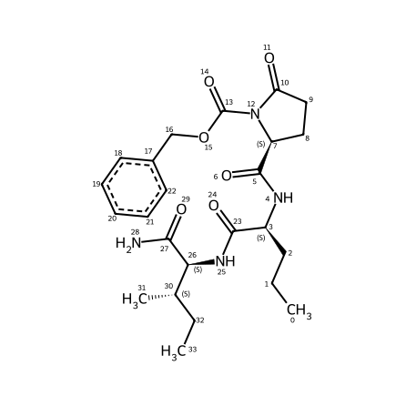 CCC[C@H](NC(=O)[C@@H]1CCC(=O)N1C(=O)OCc1ccccc1)C(=O)N[C@H](C(N)=O)[C@@H](C)CC